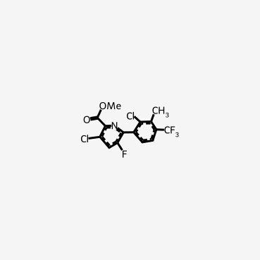 COC(=O)c1nc(-c2ccc(C(F)(F)F)c(C)c2Cl)c(F)cc1Cl